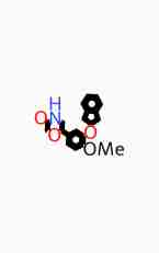 COc1ccc(C2CNC(=O)CO2)cc1OC1Cc2ccccc2C1